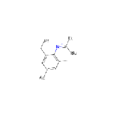 CC/C(=N/c1c(C)cc(C(C)=O)cc1CC(C)C)C(C)CC